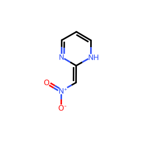 O=[N+]([O-])C=C1N=CC=CN1